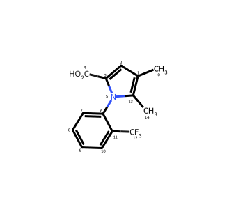 Cc1cc(C(=O)O)n(-c2ccccc2C(F)(F)F)c1C